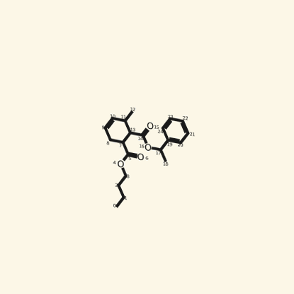 CCCCOC(=O)C1CC=CC(C)C1C(=O)OC(C)c1ccccc1